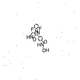 O=C(NCCO)c1ccc(-c2nn(-c3c(F)cccc3F)c3cc[nH]c(=O)c23)cc1